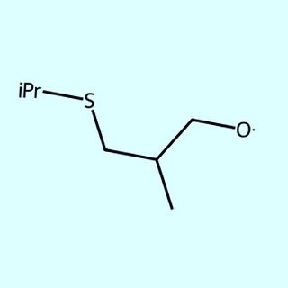 CC(C[O])CSC(C)C